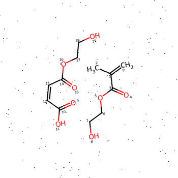 C=C(C)C(=O)OCCO.O=C(O)/C=C\C(=O)OCCO